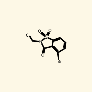 O=C1c2c(Br)cccc2S(=O)(=O)N1CCl